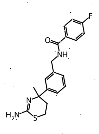 CC1(c2cccc(CNC(=O)c3ccc(F)cc3)c2)CCSC(N)=N1